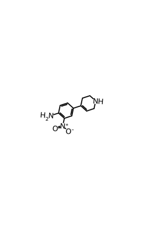 Nc1ccc(C2=CCNCC2)cc1[N+](=O)[O-]